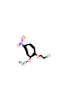 COc1cc([N+](=O)[O-])ccc1OCCCl